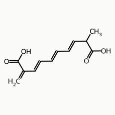 C=C(C=CC=CC=CC(C)C(=O)O)C(=O)O